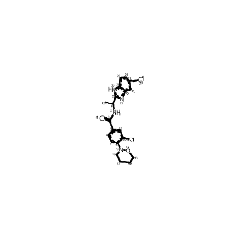 C[C@H](NC(=O)c1ccc(N2CCCCO2)c(Cl)c1)c1nc2cc(Cl)ccc2[nH]1